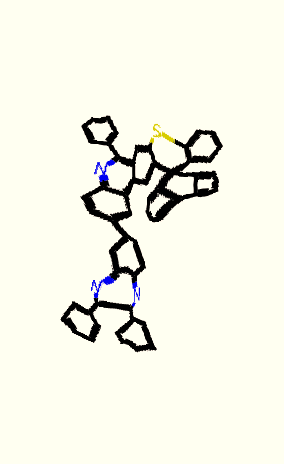 c1ccc(-c2nc3ccc(-c4ccc5nc(-c6ccccc6)c6cc7c(cc6c5c4)C4(c5ccccc5S7)c5ccccc5-c5ccccc54)cc3nc2-c2ccccc2)cc1